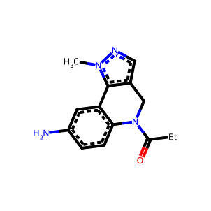 CCC(=O)N1Cc2cnn(C)c2-c2cc(N)ccc21